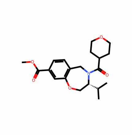 COC(=O)c1ccc2c(c1)OC[C@@H](C(C)C)N(C(=O)C1CCOCC1)C2